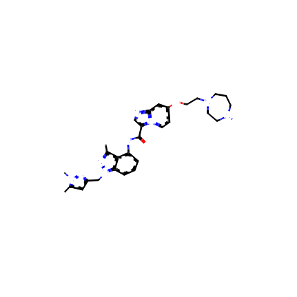 Cc1nn(Cc2cc(C)n(C(C)C)n2)c2cccc(NC(=O)c3cnc4cc(OCCN5CCCN(C)CC5)ccn34)c12